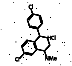 CNC1CCC(c2ccc(Cl)cc2)c2ccc(Cl)cc21.Cl